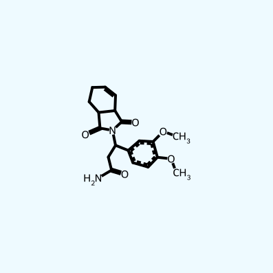 COc1ccc(C(CC(N)=O)N2C(=O)C3C=CCCC3C2=O)cc1OC